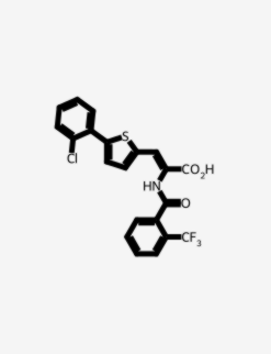 O=C(O)/C(=C/c1ccc(-c2ccccc2Cl)s1)NC(=O)c1ccccc1C(F)(F)F